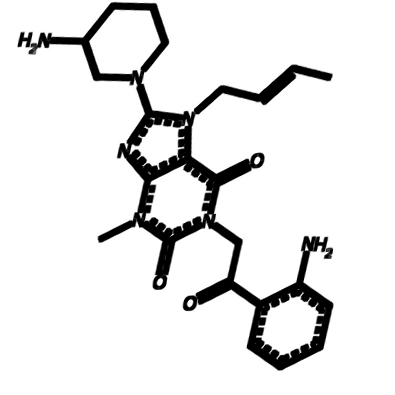 C/C=C/Cn1c(N2CCCC(N)C2)nc2c1c(=O)n(CC(=O)c1ccccc1N)c(=O)n2C